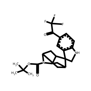 CC(C)(C)OC(=O)N1C2CC3CC1C(C2)C31CNc2ccc(C(=O)C(F)(F)F)cc21